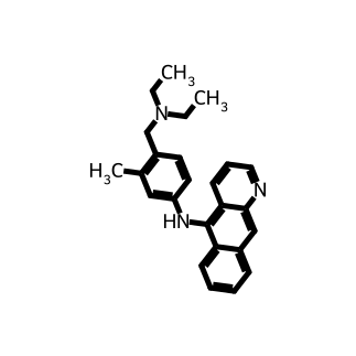 CCN(CC)Cc1ccc(Nc2c3ccccc3cc3ncccc23)cc1C